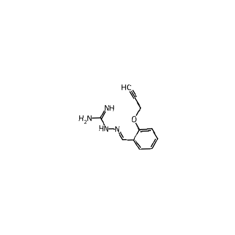 C#CCOc1ccccc1C=NNC(=N)N